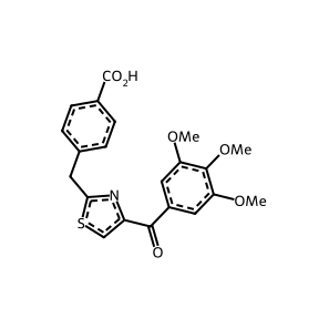 COc1cc(C(=O)c2csc(Cc3ccc(C(=O)O)cc3)n2)cc(OC)c1OC